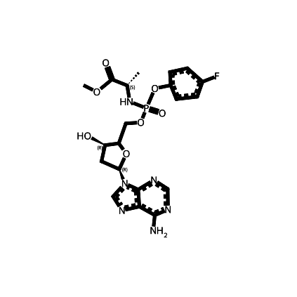 COC(=O)[C@H](C)NP(=O)(OCC1O[C@@H](n2cnc3c(N)ncnc32)C[C@H]1O)Oc1ccc(F)cc1